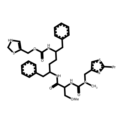 COCC(NC(=O)N(C)Cc1csc(C(C)C)n1)C(=O)NC(CCC(Cc1ccccc1)NC(=O)OCC1=CNCS1)Cc1ccccc1